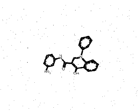 O=C(Nc1cccc([N+](=O)[O-])c1)C1=C(O)c2ccccc2N(c2ccccc2)C1